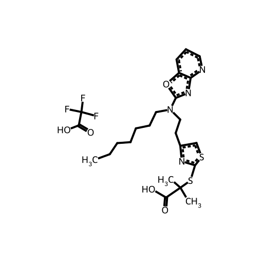 CCCCCCCN(CCc1csc(SC(C)(C)C(=O)O)n1)c1nc2ncccc2o1.O=C(O)C(F)(F)F